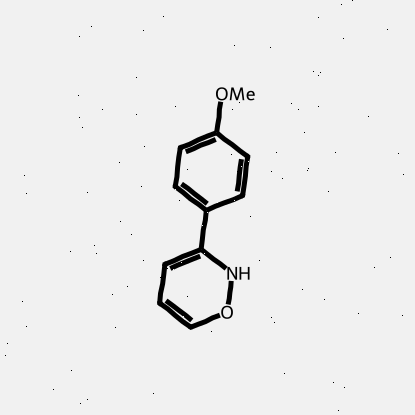 COc1ccc(C2=CC=CON2)cc1